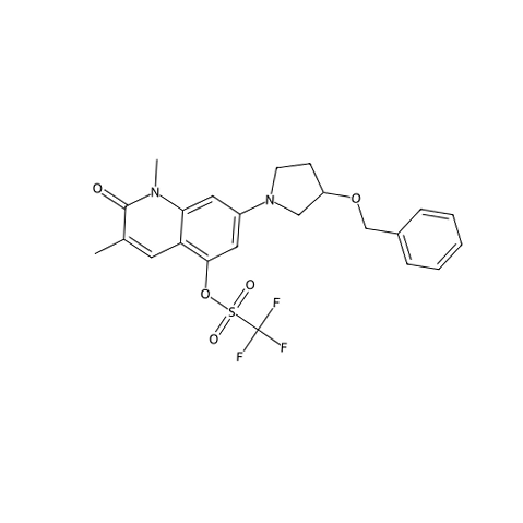 Cc1cc2c(OS(=O)(=O)C(F)(F)F)cc(N3CCC(OCc4ccccc4)C3)cc2n(C)c1=O